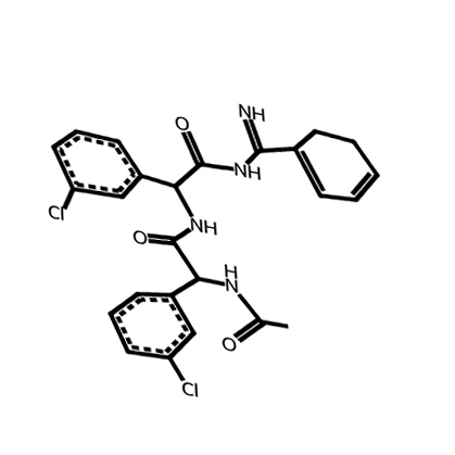 CC(=O)NC(C(=O)NC(C(=O)NC(=N)C1=CC=CCC1)c1cccc(Cl)c1)c1cccc(Cl)c1